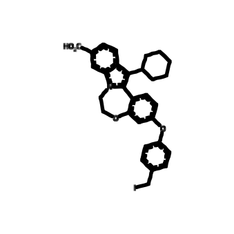 O=C(O)c1ccc2c(C3CCCCC3)c3n(c2c1)CCOc1cc(Oc2ccc(CI)cc2)ccc1-3